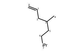 C=CCC(C)CCC(C)C